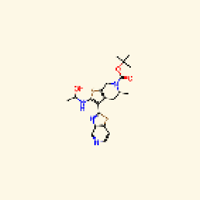 CC(O)Nc1sc2c(c1-c1nc3cnccc3s1)CC(C)N(C(=O)OC(C)(C)C)C2